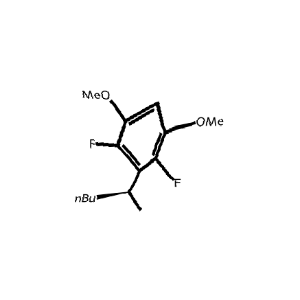 CCCC[C@H](C)c1c(F)c(OC)cc(OC)c1F